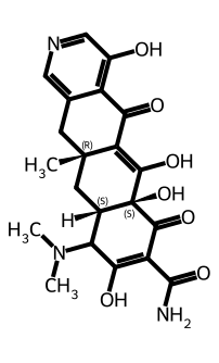 CN(C)C1C(O)=C(C(N)=O)C(=O)[C@@]2(O)C(O)=C3C(=O)c4c(O)cncc4C[C@@]3(C)C[C@@H]12